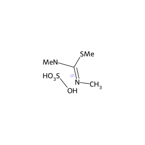 C/N=C(/NC)SC.O=S(=O)(O)O